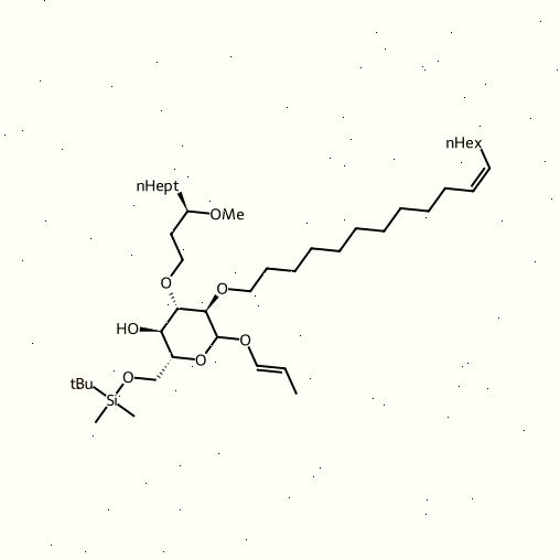 C/C=C/OC1O[C@H](CO[Si](C)(C)C(C)(C)C)[C@@H](O)[C@H](OCC[C@@H](CCCCCCC)OC)[C@H]1OCCCCCCCCCC/C=C\CCCCCC